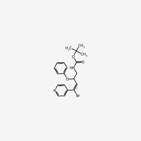 CC(C)(C)OC(=O)NCC(/C=C(/Br)c1ccncc1)Oc1ccccc1